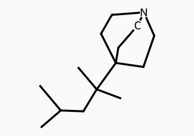 CC(C)CC(C)(C)C12CCN(CC1)CC2